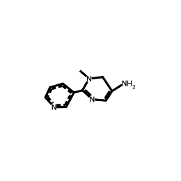 CN1CC(N)=CN=C1c1cccnc1